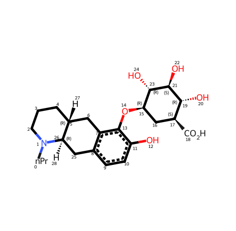 CCCN1CCC[C@@H]2Cc3c(ccc(O)c3O[C@@H]3C[C@H](C(=O)O)[C@@H](O)[C@H](O)[C@H]3O)C[C@H]21